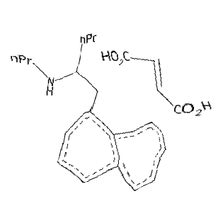 CCCNC(CCC)Cc1cccc2ccccc12.O=C(O)C=CC(=O)O